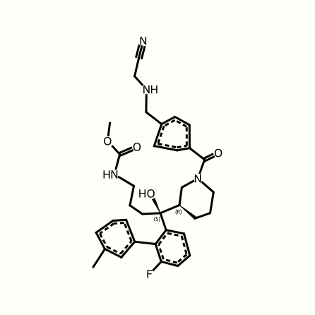 COC(=O)NCCC[C@@](O)(c1cccc(F)c1-c1cccc(C)c1)[C@@H]1CCCN(C(=O)c2ccc(CNCC#N)cc2)C1